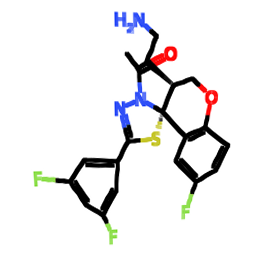 CC(=O)N1N=C(c2cc(F)cc(F)c2)S[C@]12c1cc(F)ccc1OC[C@@H]2CCN